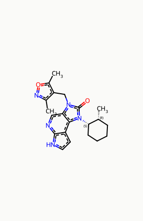 Cc1noc(C)c1Cn1c(=O)n([C@H]2CCCC[C@H]2C)c2c3cc[nH]c3ncc21